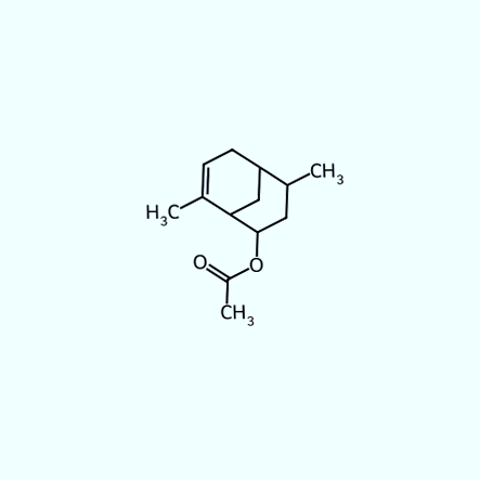 CC(=O)OC1CC(C)C2CC=C(C)C1C2